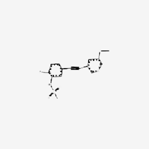 COc1cncc(C#Cc2ccc(F)c(NS(C)(=O)=O)c2)c1